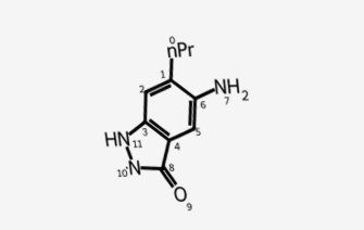 CCCc1cc2c(cc1N)C(=O)[N]N2